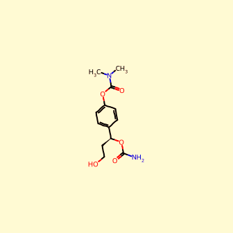 CN(C)C(=O)Oc1ccc([C@H](CCO)OC(N)=O)cc1